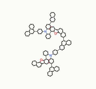 c1ccc(N(c2ccc(-c3ccc4c(c3)cc(-c3ccc5ccc6c7cccc(-c8ccccc8N(c8ccc(-c9ccc%10ccccc%10c9)cc8)c8ccc(-c9cc%10ccccc%10c%10ccccc9%10)cc8)c7oc6c5c3)c3ccccc34)cc2)c2ccc(-c3cc4ccccc4c4ccccc34)cc2)c(-c2cccc3c2oc2c4ccccc4ccc32)c1